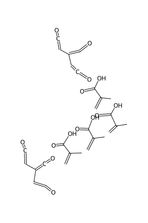 C=C(C)C(=O)O.C=C(C)C(=O)O.C=C(C)C(=O)O.C=C(C)C(=O)O.O=C=CC(=C=O)C=C=O.O=C=CC(=C=O)C=C=O